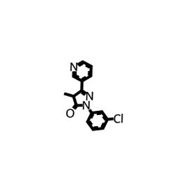 CC1C(=O)N(c2cccc(Cl)c2)N=C1c1cccnc1